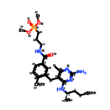 CCCC[C@@H](CCSC)Nc1nc(N)nc(C)c1Cc1cc(C(=O)NCCCP(=O)(OCC)OCC)ccc1OC